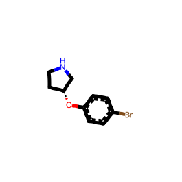 Brc1ccc(O[C@@H]2CCNC2)cc1